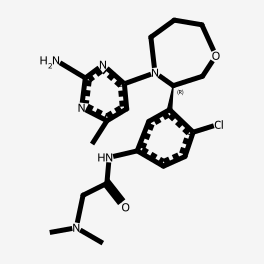 Cc1cc(N2CCCOC[C@H]2c2cc(NC(=O)CN(C)C)ccc2Cl)nc(N)n1